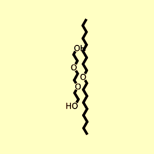 CCCCCCCCCOCCCCCCCCC.OCCOCCOCCO